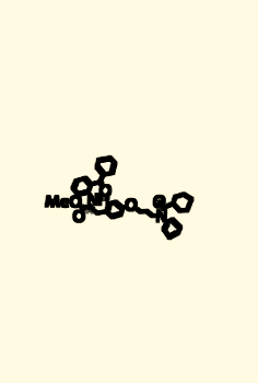 COC(=O)[C@H](Cc1ccc(OCCCN(C(=O)C2CCCCC2)c2ccccc2)cc1)Nc1ccccc1C(=O)c1ccccc1